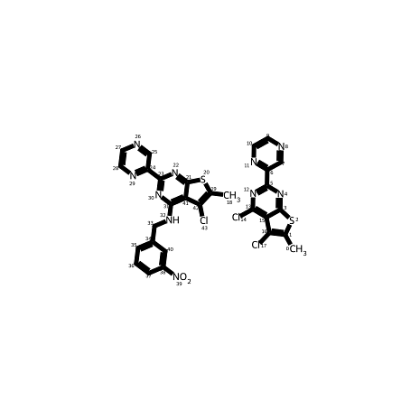 Cc1sc2nc(-c3cnccn3)nc(Cl)c2c1Cl.Cc1sc2nc(-c3cnccn3)nc(NCc3cccc([N+](=O)[O-])c3)c2c1Cl